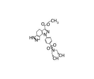 C#CCN(CC#C)S(=O)(=O)c1ccc(-n2nc(C(=O)OCC)c3c2-c2cn[nH]c2CC3)cc1